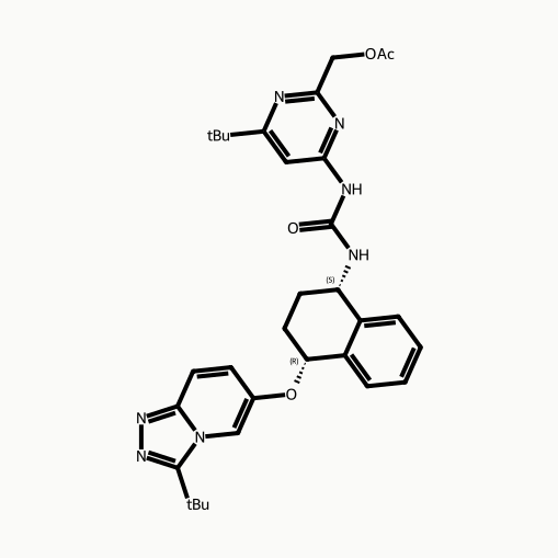 CC(=O)OCc1nc(NC(=O)N[C@H]2CC[C@@H](Oc3ccc4nnc(C(C)(C)C)n4c3)c3ccccc32)cc(C(C)(C)C)n1